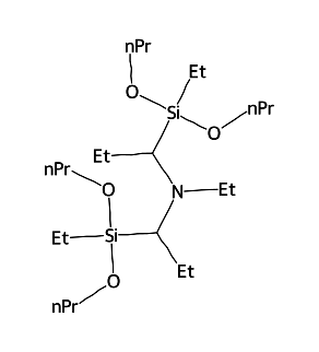 CCCO[Si](CC)(OCCC)C(CC)N(CC)C(CC)[Si](CC)(OCCC)OCCC